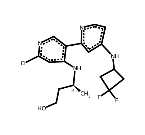 C[C@@H](CCO)Nc1cc(Cl)ncc1-c1cc(NC2CC(F)(F)C2)ccn1